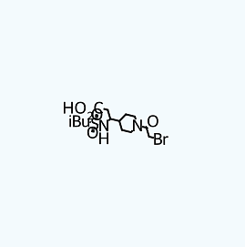 CCC(C)S(=O)(=O)NC(CC(=O)O)C1CCN(C(=O)CBr)CC1